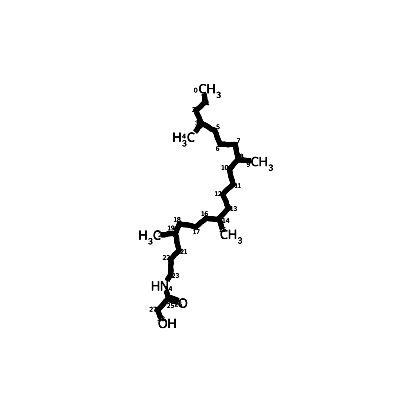 CCCC(C)CCCC(C)CCCCC(C)CCCC(C)CCCNC(=O)CO